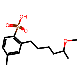 COC(C)CCCCc1cc(C)ccc1S(=O)(=O)O